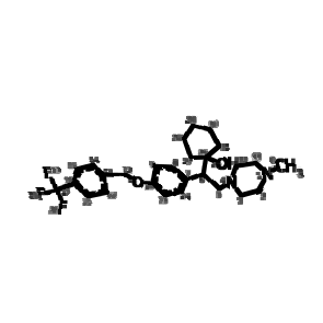 CN1CCN(CC(c2ccc(OCc3ccc(C(F)(F)F)cc3)cc2)C2(O)CCCCC2)CC1